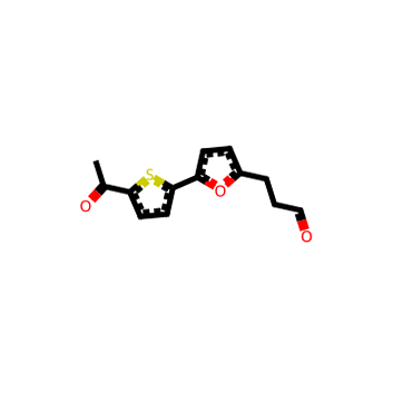 CC(=O)c1ccc(-c2ccc(CCC=O)o2)s1